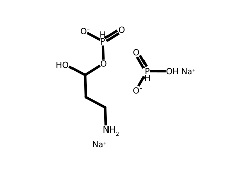 NCCC(O)O[PH](=O)[O-].O=[PH]([O-])O.[Na+].[Na+]